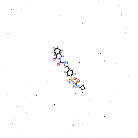 O=C(NC1CCC1)NS(=O)(=O)c1ccc(CCNC(=O)N2Cc3ccccc3C2=O)cc1